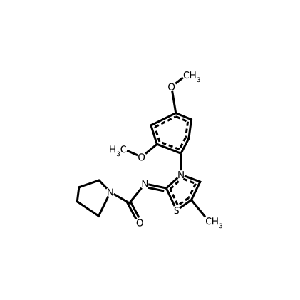 COc1ccc(-n2cc(C)sc2=NC(=O)N2CCCC2)c(OC)c1